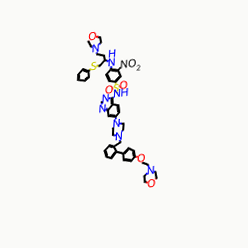 O=[N+]([O-])c1cc(S(=O)(=O)Nc2ncnc3cc(N4CCN(Cc5ccccc5-c5ccc(OCCN6CCOCC6)cc5)CC4)ccc23)ccc1NC(CCN1CCOCC1)CSc1ccccc1